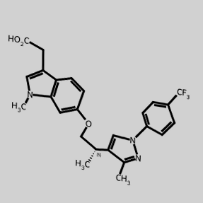 Cc1nn(-c2ccc(C(F)(F)F)cc2)cc1[C@H](C)COc1ccc2c(CC(=O)O)cn(C)c2c1